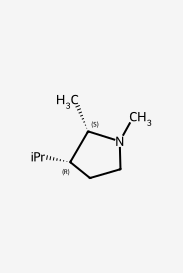 CC(C)[C@H]1CCN(C)[C@H]1C